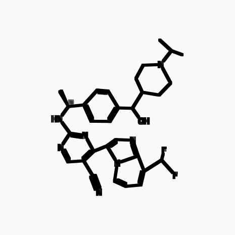 CC(C)N1CCC(C(O)c2ccc([C@H](C)Nc3ncc(C#N)c(-c4cnc5c(C(F)F)cccn45)n3)cc2)CC1